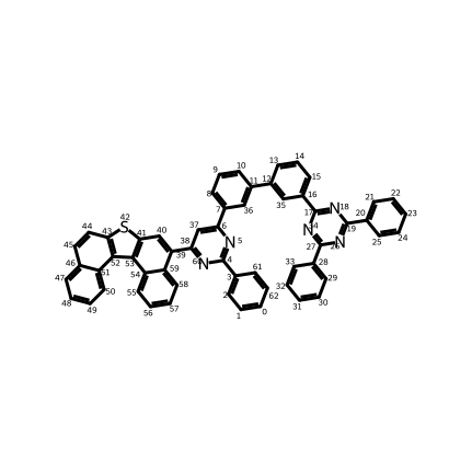 c1ccc(-c2nc(-c3cccc(-c4cccc(-c5nc(-c6ccccc6)nc(-c6ccccc6)n5)c4)c3)cc(-c3cc4sc5ccc6ccccc6c5c4c4ccccc34)n2)cc1